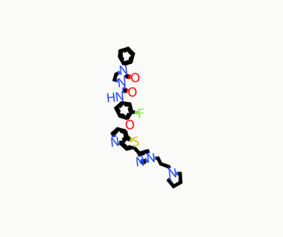 O=C(Nc1ccc(Oc2ccnc3cc(-c4cn(CCCN5CCCC5)cn4)sc23)c(F)c1)N1CCN(c2ccccc2)C1=O